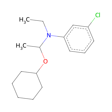 CCN(c1cccc(Cl)c1)C(C)OC1CCCCC1